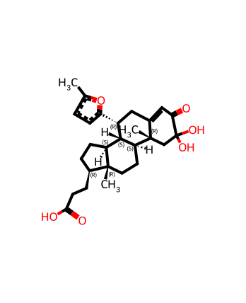 Cc1ccc([C@@H]2CC3=CC(=O)C(O)(O)C[C@]3(C)[C@H]3CC[C@]4(C)[C@@H](CCC(=O)O)CC[C@H]4[C@H]23)o1